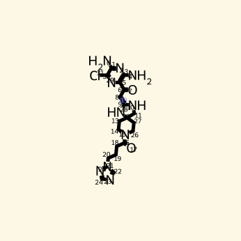 Nc1nc(N)c(C(=O)/C=C2\NCC3(CCN(C(=O)CCCn4cncn4)CC3)N2)nc1Cl